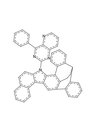 c1ccc(-c2nc(-n3c4ccc5ccccc5c4c4cc5c6c(c43)-c3ccccc3C(CC6)c3ccccc3-5)nc3cccnc23)cc1